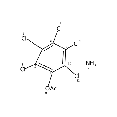 CC(=O)Oc1c(Cl)c(Cl)c(Cl)c(Cl)c1Cl.N